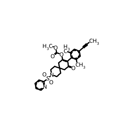 CC#Cc1cc(C)c(C2=C(OC(=O)OC)CC3(CCN(S(=O)(=O)c4ccccn4)CC3)CC2=O)c(C)c1